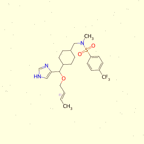 C/C=C/COC(c1c[nH]cn1)C1CCC(CN(C)S(=O)(=O)c2ccc(C(F)(F)F)cc2)CC1